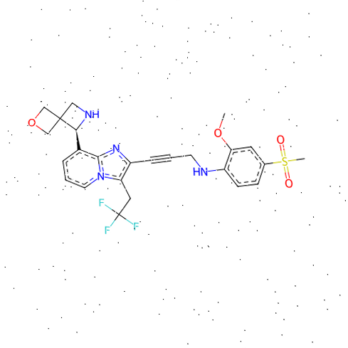 COc1cc(S(C)(=O)=O)ccc1NCC#Cc1nc2c([C@@H]3NCC34COC4)cccn2c1CC(F)(F)F